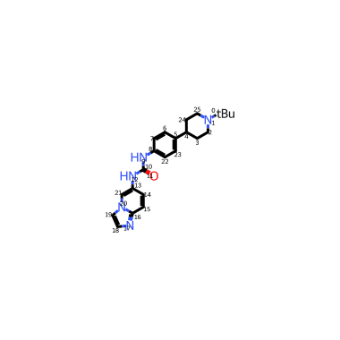 CC(C)(C)N1CCC(c2ccc(NC(=O)Nc3ccc4nccn4c3)cc2)CC1